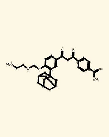 COCCOCOc1ccc(C(=O)CC(=O)c2ccc(C(=O)OC)cc2)cc1C12CC3CC(CC(C3)C1)C2